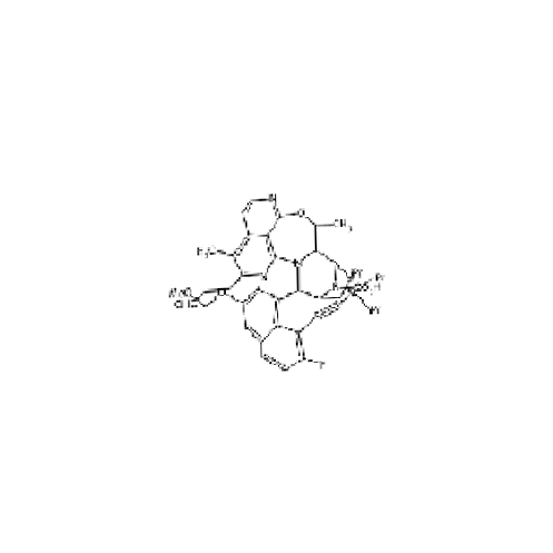 COCOc1cc(C2C3CCC(C4C(C)Oc5nccc6c(C)c(CCC=O)nc(c56)N24)N3C(=O)O)c2c(C#C[Si](C(C)C)(C(C)C)C(C)C)c(F)ccc2c1